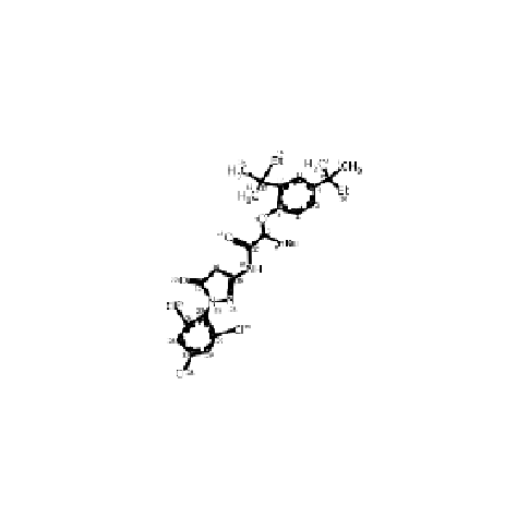 CCCCC(Oc1ccc(C(C)(C)CC)cc1C(C)(C)CC)C(=O)NC1=NN(c2c(Cl)cc(Cl)cc2Cl)C(=O)C1